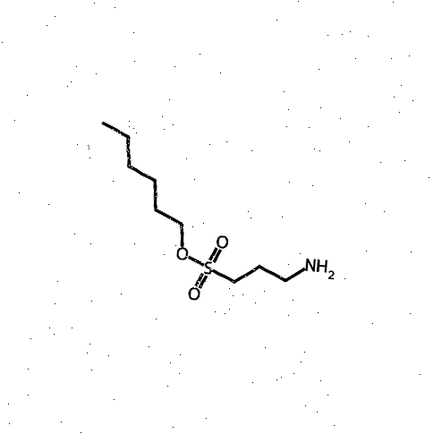 CCCCCCOS(=O)(=O)CCCN